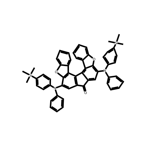 C[Si](C)(C)c1ccc(N(c2ccccc2)c2cc3c(c4c2oc2ccccc24)-c2c(cc(N(c4ccccc4)c4ccc([Si](C)(C)C)cc4)c4oc5ccccc5c24)C3=O)cc1